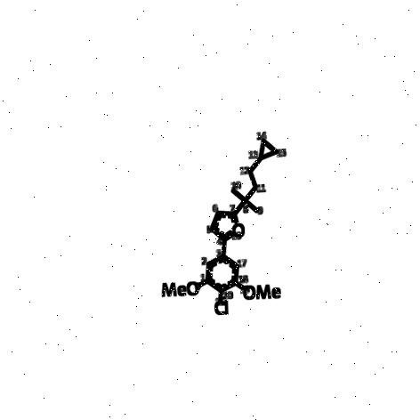 COc1cc(-c2ccc(C(C)(C)CCC3CC3)o2)cc(OC)c1Cl